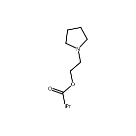 CC(C)C(=O)OCCN1CCCC1